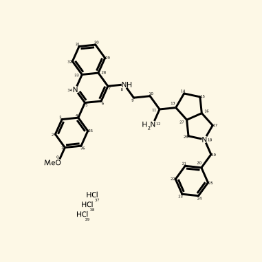 COc1ccc(-c2cc(NCCC(N)C3CCC4CN(Cc5ccccc5)CC43)c3ccccc3n2)cc1.Cl.Cl.Cl